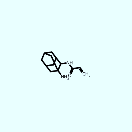 C=CC(=O)NC1C2CC3CC(C2)CC1(N)C3